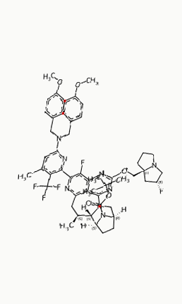 COc1ccc(CN(Cc2ccc(OC)cc2)c2cc(C)c(C(F)(F)F)c(-c3nc4c5c(nc(OC[C@@]67CCCN6C[C@H](F)C7)nc5c3F)N3C[C@H]5CC[C@@H]([C@@H]3[C@@H](C)C4)N5C(=O)OC(C)(C)C)n2)cc1